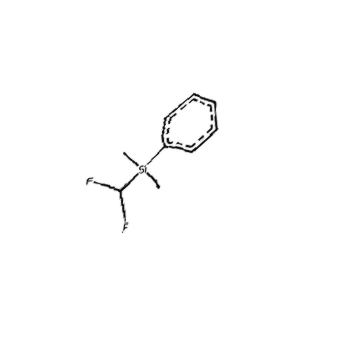 C[Si](C)(c1ccccc1)C(F)F